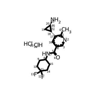 Cc1ncc(C(=O)NC2CCC(F)(F)CC2)cc1[C@@H]1C[C@H]1N.Cl.Cl